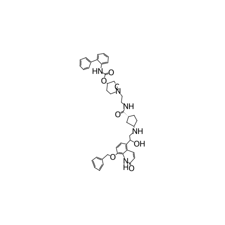 O=C(Nc1ccccc1-c1ccccc1)OC1CCN(CCNC(=O)[C@@H]2CC[C@H](NCC(O)c3ccc(OCc4ccccc4)c4[nH]c(=O)ccc34)C2)CC1